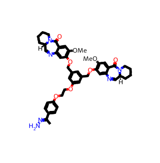 COc1cc2c(cc1OCc1cc(COc3cc4c(cc3OC)C(=O)N3CCCC[C@H]3C=N4)cc(OCCOc3ccc(/C(C)=N/N)cc3)c1)N=C[C@@H]1CCCCN1C2=O